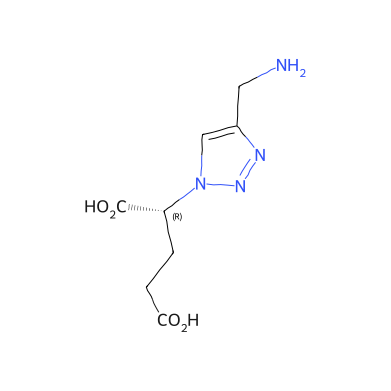 NCc1cn([C@H](CCC(=O)O)C(=O)O)nn1